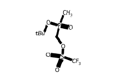 CC(C)(C)OP(C)(=O)COS(=O)(=O)C(F)(F)F